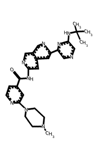 CN1CCN(c2cc(C(=O)Nc3cc4cc(-c5cncc(NC(C)(C)C)n5)ncc4cn3)ccn2)CC1